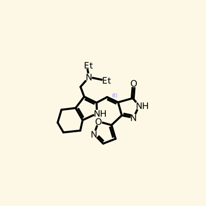 CCN(CC)Cc1c(/C=C2/C(=O)NN=C2c2ccno2)[nH]c2c1CCCC2